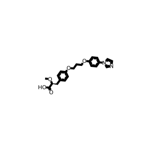 CO[C@@H](Cc1ccc(OCCCOc2ccc(-n3ccnc3)cc2)cc1)C(=O)O